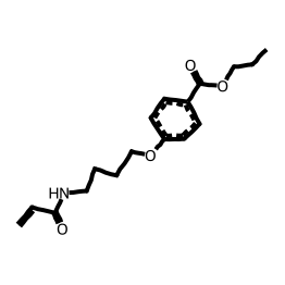 C=CC(=O)NCCCCOc1ccc(C(=O)OCCC)cc1